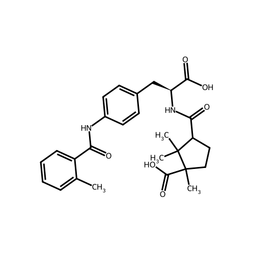 Cc1ccccc1C(=O)Nc1ccc(C[C@H](NC(=O)C2CCC(C)(C(=O)O)C2(C)C)C(=O)O)cc1